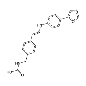 O=C(O)NCc1ccc(C=NNc2ccc(-c3cnco3)cc2)cc1